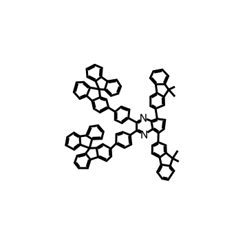 CC1(C)c2ccccc2-c2ccc(-c3ccc(-c4ccc5c(c4)C(C)(C)c4ccccc4-5)c4nc(-c5ccc(-c6ccc7c(c6)C6(c8ccccc8-c8ccccc86)c6ccccc6-7)cc5)c(-c5ccc(-c6ccc7c(c6)C6(c8ccccc8-c8ccccc86)c6ccccc6-7)cc5)nc34)cc21